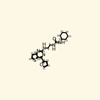 O=C(NCCNc1nc(-c2ccco2)c2sccc2n1)NC1CCCCC1